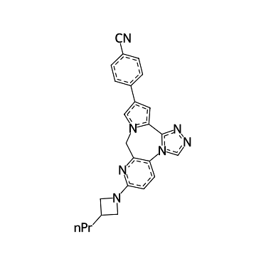 CCCC1CN(c2ccc3c(n2)Cn2cc(-c4ccc(C#N)cc4)cc2-c2nncn2-3)C1